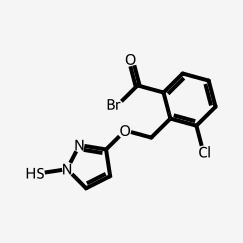 O=C(Br)c1cccc(Cl)c1COc1ccn(S)n1